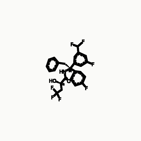 O=C(N[C@](Cc1ccccc1)(c1ccc(F)cc1)c1cc(F)cc(C(F)F)c1)[C@H](O)CC(F)(F)F